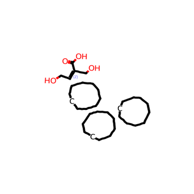 C1CCCCCCCCC1.C1CCCCCCCCC1.C1CCCCCCCCC1.O=C(O)/C(=C\CO)CO